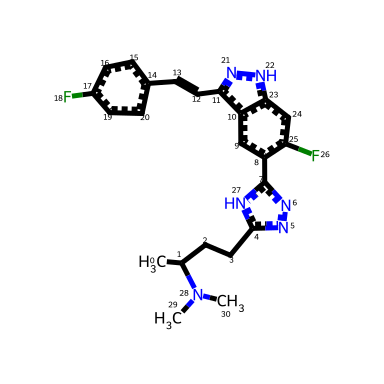 CC(CCc1nnc(-c2cc3c(/C=C/c4ccc(F)cc4)n[nH]c3cc2F)[nH]1)N(C)C